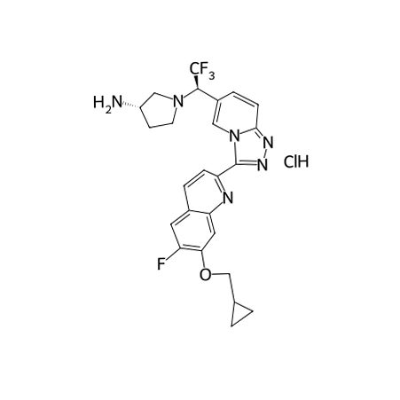 Cl.N[C@H]1CCN([C@H](c2ccc3nnc(-c4ccc5cc(F)c(OCC6CC6)cc5n4)n3c2)C(F)(F)F)C1